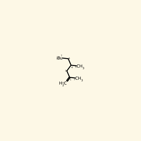 C=C(C)CC(C)CC(C)CC